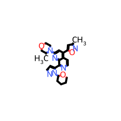 Cc1cc(-c2cc(N3CCOC[C@H]3C)nc3c(-c4ccnn4C4CCCCO4)nccc23)on1